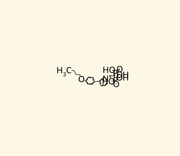 CCCCOc1ccc(-c2ccc[n+](CC(P(=O)(O)O)P(=O)(O)O)c2)cc1